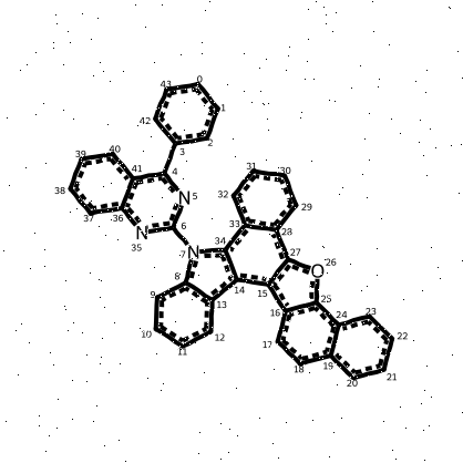 c1ccc(-c2nc(-n3c4ccccc4c4c5c6ccc7ccccc7c6oc5c5ccccc5c43)nc3ccccc23)cc1